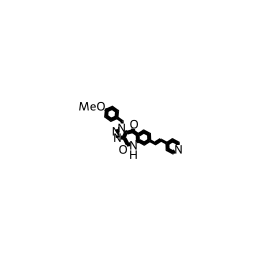 COc1ccc(Cn2nnc3c(=O)[nH]c4cc(/C=C/c5ccncc5)ccc4c(=O)c32)cc1